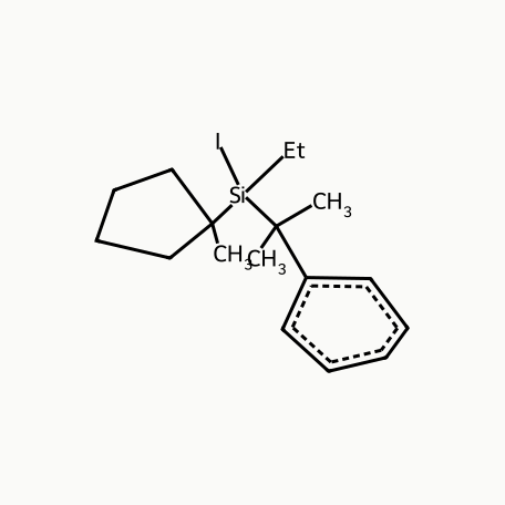 CC[Si](I)(C1(C)CCCC1)C(C)(C)c1ccccc1